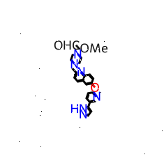 COC(C=O)N1CCN(Cc2ccc3cc(Oc4ccc(-c5ccn[nH]5)cn4)ccc3n2)CC1